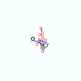 COCCOC(=O)OCOc1c2n(cc(C(=O)NCc3ccc(F)cc3F)c1=O)[C@@H]1CN(C2=O)[C@@H](C)CC[C@]12CC(OC)=NO2